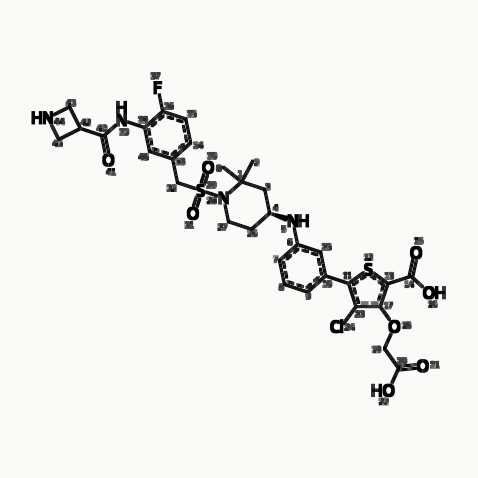 CC1(C)C[C@@H](Nc2cccc(-c3sc(C(=O)O)c(OCC(=O)O)c3Cl)c2)CCN1S(=O)(=O)Cc1ccc(F)c(NC(=O)C2CNC2)c1